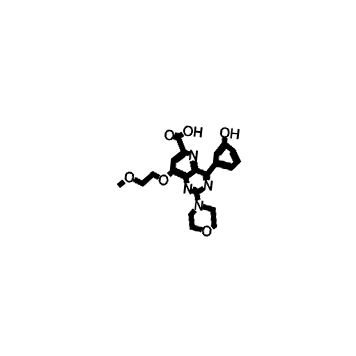 COCCOc1cc(C(=O)O)nc2c(-c3cccc(O)c3)nc(N3CCOCC3)nc12